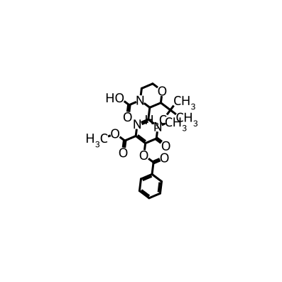 COC(=O)c1nc(C2C(C(C)(C)C)OCCN2C(=O)O)n(C)c(=O)c1OC(=O)c1ccccc1